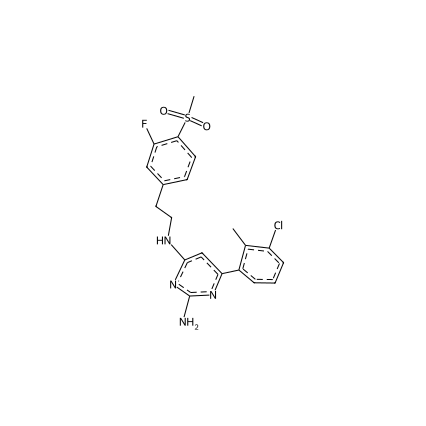 Cc1c(Cl)cccc1-c1cc(NCCc2ccc(S(C)(=O)=O)c(F)c2)nc(N)n1